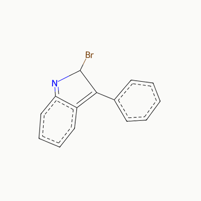 BrC1N=c2ccccc2=C1c1ccccc1